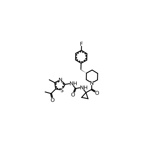 CC(=O)c1sc(NC(=O)NC2(C(=O)N3CCC[C@@H](Cc4ccc(F)cc4)C3)CC2)nc1C